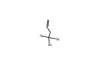 [2H]C([2H])(CC=C)C(C)=O